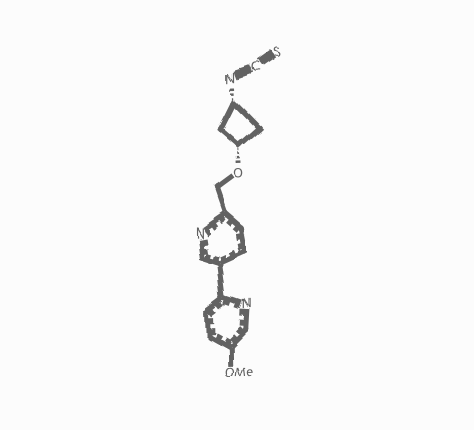 COc1ccc(-c2ccc(CO[C@H]3C[C@@H](N=C=S)C3)nc2)nc1